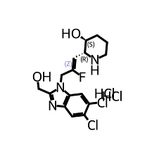 Cl.Cl.OCc1nc2cc(Cl)c(Cl)cc2n1C/C(F)=C/[C@H]1NCCC[C@@H]1O